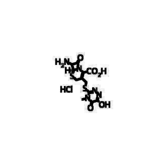 Cl.Cn1c(SCC2=C(C(=O)O)N3C(=O)C(N)[C@@H]3SC2)nnc(O)c1=O